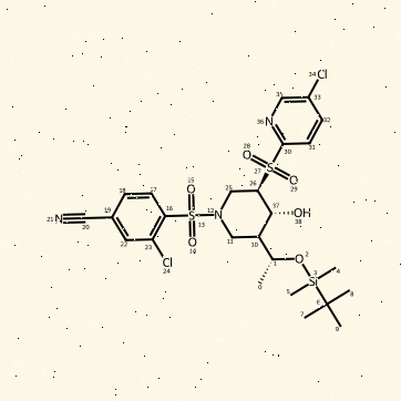 C[C@@H](O[Si](C)(C)C(C)(C)C)C1CN(S(=O)(=O)c2ccc(C#N)cc2Cl)C[C@@H](S(=O)(=O)c2ccc(Cl)cn2)[C@@H]1O